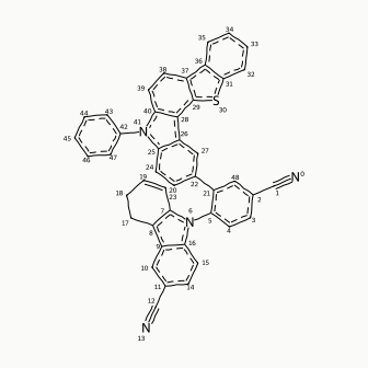 N#Cc1ccc(-n2c3c(c4cc(C#N)ccc42)CCC=C3)c(-c2ccc3c(c2)c2c4sc5ccccc5c4ccc2n3-c2ccccc2)c1